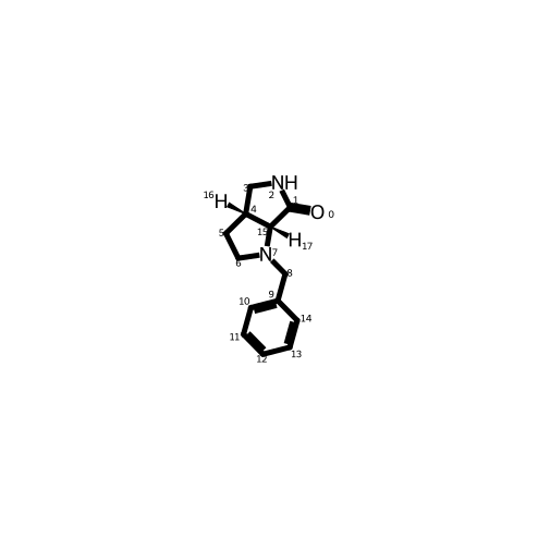 O=C1NC[C@H]2CCN(Cc3ccccc3)[C@@H]12